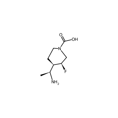 C[C@H](N)[C@H]1CCN(C(=O)O)C[C@H]1F